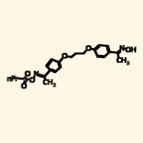 CCCS(=O)(=O)O/N=C(\C)c1ccc(OCCCOc2ccc(/C(C)=N/O)cc2)cc1